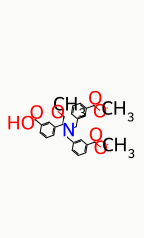 COC[C@H](c1cccc(C(=O)O)c1)N(Cc1cccc(C(=O)OC)c1)Cc1cccc(C(=O)OC)c1